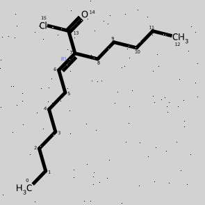 CCCCCC/C=C(\CCCCC)C(=O)Cl